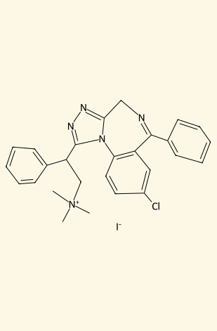 C[N+](C)(C)CC(c1ccccc1)c1nnc2n1-c1ccc(Cl)cc1C(c1ccccc1)=NC2.[I-]